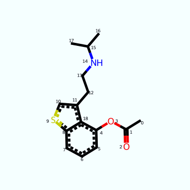 CC(=O)Oc1cccc2scc(CCNC(C)C)c12